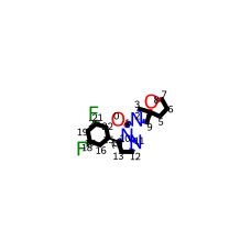 O=C(N1CC2(CCCO2)C1)N1N=CC[C@H]1C1CC(F)CC(F)C1